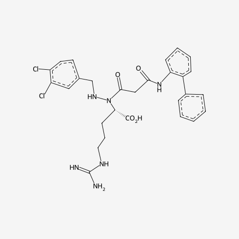 N=C(N)NCCC[C@@H](C(=O)O)N(NCc1ccc(Cl)c(Cl)c1)C(=O)CC(=O)Nc1ccccc1-c1ccccc1